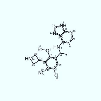 CCOc1c(C(C)Nc2ncnc3[nH]cnc23)cc(Cl)c(C#N)c1C1CNC1